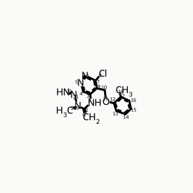 C=C(Nc1cnnc(Cl)c1COc1ccccc1C)N(C)N=N